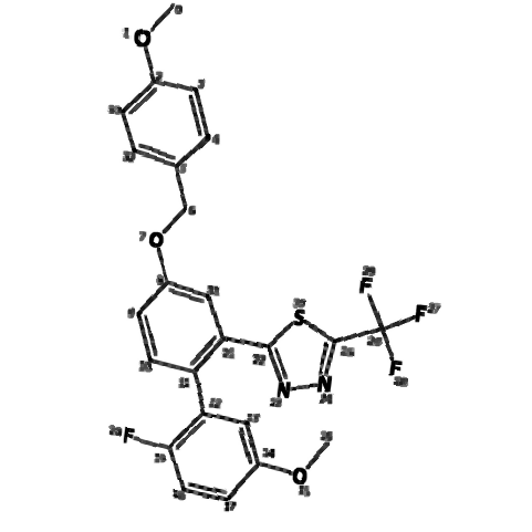 COc1ccc(COc2ccc(-c3cc(OC)ccc3F)c(-c3nnc(C(F)(F)F)s3)c2)cc1